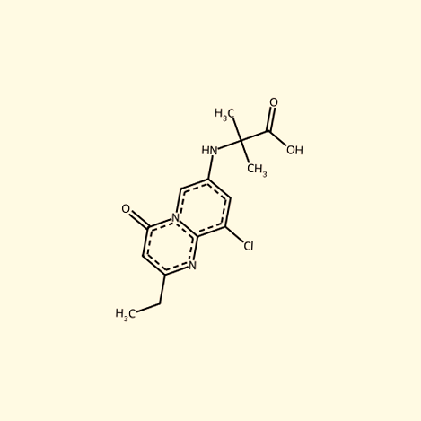 CCc1cc(=O)n2cc(NC(C)(C)C(=O)O)cc(Cl)c2n1